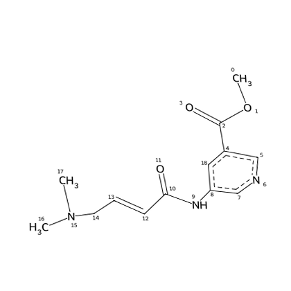 COC(=O)c1cncc(NC(=O)/C=C/CN(C)C)c1